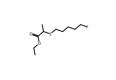 CCOC(=O)C(C)SCCCCCF